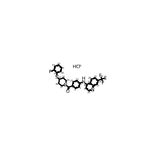 Cl.O=C(c1ccc(Nc2ccnc3cc(C(F)(F)F)ccc23)cc1)N1CCC(Sc2ccccc2F)CC1